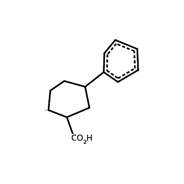 O=C(O)C1[CH]CCC(c2ccccc2)C1